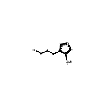 COc1cscc1CCCO